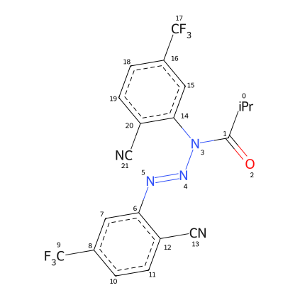 CC(C)C(=O)N(N=Nc1cc(C(F)(F)F)ccc1C#N)c1cc(C(F)(F)F)ccc1C#N